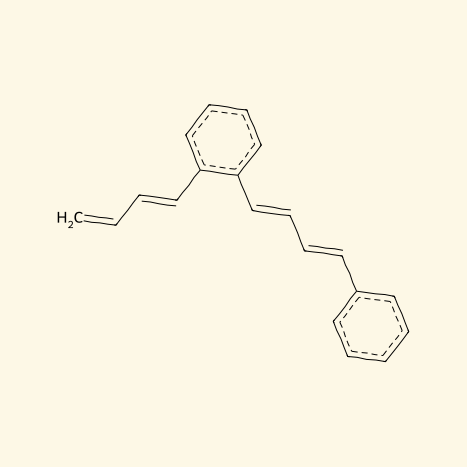 C=CC=Cc1ccccc1C=CC=Cc1ccccc1